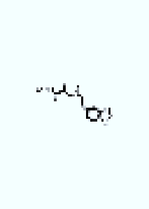 CO/C(C)=C(\C)CN(C)CCc1ccc2c(c1)OCO2